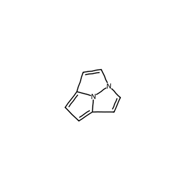 c1cc2ccn3ccc1n23